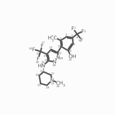 Cc1cc(C(F)(F)F)cc(O)c1-c1cc(C(F)(F)F)c(N[C@H]2CCCN(C)C2)nn1